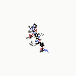 CC[C@H](C)[C@H](NC(=O)[C@H]1CCCCN1C)C(=O)N(COC(=O)CC(C)C)[C@H](C[C@@H](OC(C)=O)c1nc(C(=O)N[C@@H](Cc2ccc(OC(=O)[C@H](N)C(C)C)cc2)C[C@H](C)C(=O)O)cs1)C(C)C